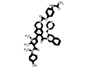 CC(=O)Nc1ccc(OC(=O)N2CCc3cc(-c4cc(C(=O)N(C)c5ccc(O)cc5)c(C)n4C)c(C(=O)N4Cc5ccccc5C[C@H]4CN4CCOCC4)cc3C2)cc1